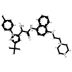 Cc1ccc(-n2nc(C(C)(C)C)cc2C(O)C(=O)Nc2ccc(OCCN3CCOCC3)c3ccccc23)cc1